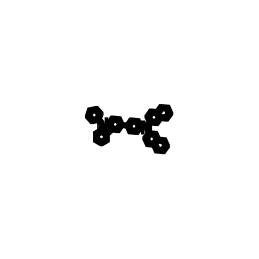 c1ccc(-n2c3ccccc3c3cc(-c4ccc(N(c5ccc6ccccc6c5)c5ccc6ccccc6c5)cc4)ccc32)cc1